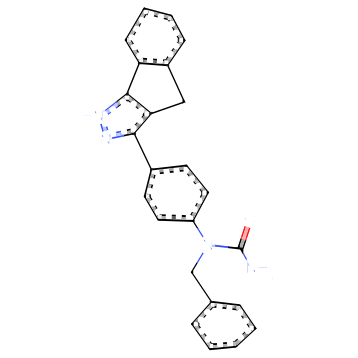 NC(=O)N(Cc1ccccc1)c1ccc(-c2n[nH]c3c2Cc2ccccc2-3)cc1